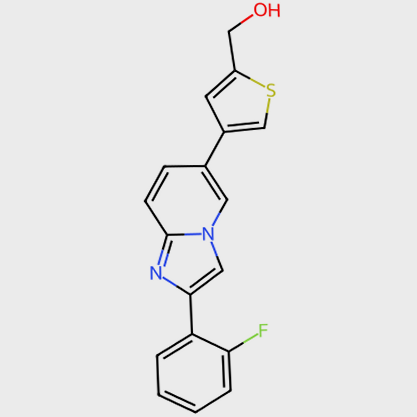 OCc1cc(-c2ccc3nc(-c4ccccc4F)cn3c2)cs1